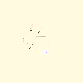 O=C1CC[C@H]2CN(C(=O)O)CC[C@@H]12